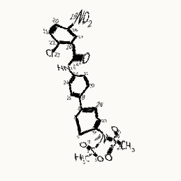 CS(=O)(=O)N(c1ccc(-c2ccc(NC(=O)c3cc([N+](=O)[O-])ccc3Cl)cc2)cc1)S(C)(=O)=O